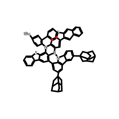 CC(C)(C)c1ccc(N2c3cc4sc5cc6ccccc6cc5c4cc3B3c4c(cc5c(sc6ccccc65)c42)-c2cc(C45CC6CC(CC(C6)C4)C5)cc4c5cc(C67CC8CC(CC(C8)C6)C7)ccc5n3c24)c(-c2ccccc2)c1